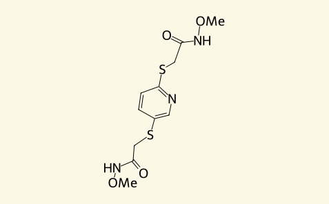 CONC(=O)CSc1ccc(SCC(=O)NOC)nc1